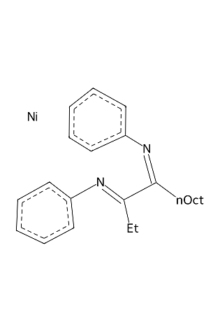 CCCCCCCCC(=Nc1ccccc1)C(CC)=Nc1ccccc1.[Ni]